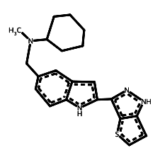 CN(Cc1ccc2[nH]c(-c3n[nH]c4ccsc34)cc2c1)C1CCCCC1